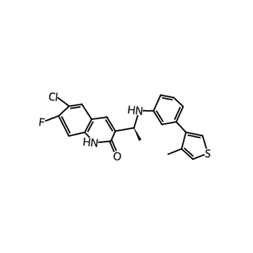 Cc1cscc1-c1cccc(N[C@@H](C)c2cc3cc(Cl)c(F)cc3[nH]c2=O)c1